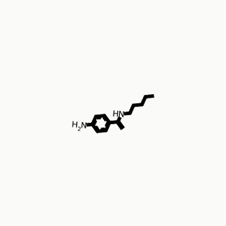 C=C(NCCCCC)c1ccc(N)cc1